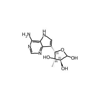 C[C@@]1(O)[C@H](O)C(O)O[C@H]1c1c[nH]c2c(N)ncnc12